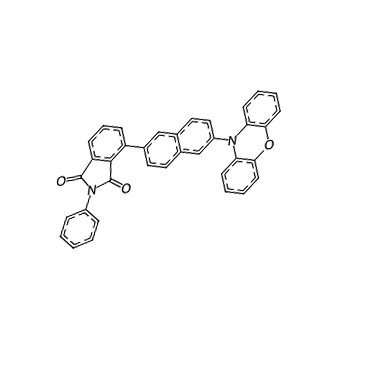 O=C1c2cccc(-c3ccc4cc(N5c6ccccc6Oc6ccccc65)ccc4c3)c2C(=O)N1c1ccccc1